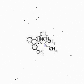 C=C/C=C(\CC)CCC1C(CC(=C)NC)c2ccccc2-c2ccc(C)c[n+]21